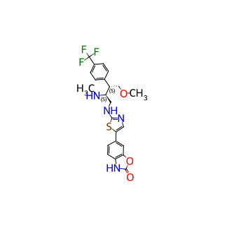 CN[C@H](CNc1ncc(-c2ccc3[nH]c(=O)oc3c2)s1)[C@@H](COC)c1ccc(C(F)(F)F)cc1